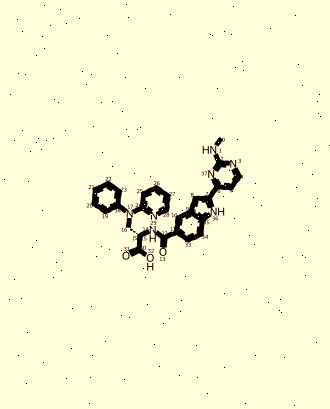 CNc1nccc(-c2cc3cc(C(=O)N[C@@H](CN(c4ccccc4)c4ccccn4)C(=O)O)ccc3[nH]2)n1